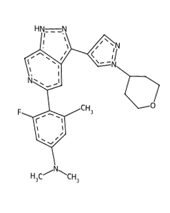 Cc1cc(N(C)C)cc(F)c1-c1cc2c(-c3cnn(C4CCOCC4)c3)n[nH]c2cn1